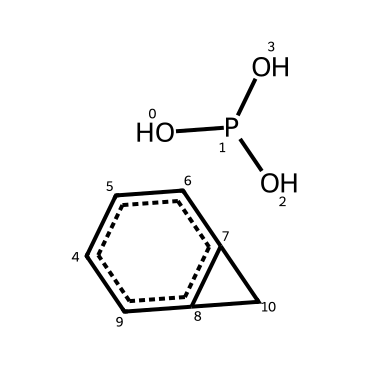 OP(O)O.c1ccc2c(c1)C2